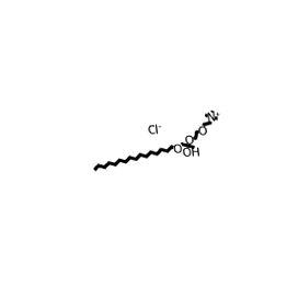 CCCCCCCCCCCCCCCCOCC(C)(O)OCCOCC[N+](C)(C)C.[Cl-]